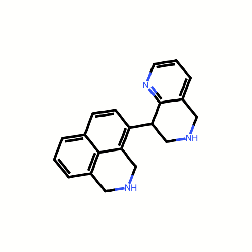 c1cnc2c(c1)CNCC2c1ccc2cccc3c2c1CNC3